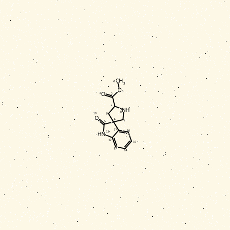 COC(=O)C1CC2(CN1)C(=O)Nc1ccccc12